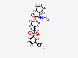 CC(C)(C1CCN(C(=O)C(N)C2CCCCC2)CC1)S(=O)(=O)c1cccc(C(F)(F)F)c1